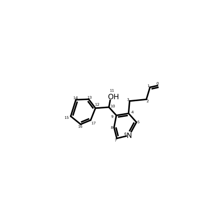 C=CCCc1cnccc1C(O)c1ccccc1